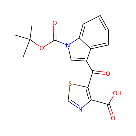 CC(C)(C)OC(=O)n1cc(C(=O)c2scnc2C(=O)O)c2ccccc21